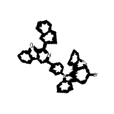 Brc1cc2c3ccccc3n(-c3ccc(-c4cc5c(oc6ccccc65)c(-c5ccc6ccccc6c5)n4)cc3)c2c2c1sc1ccccc12